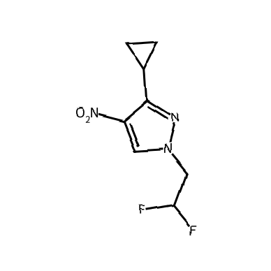 O=[N+]([O-])c1cn(CC(F)F)nc1C1CC1